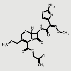 C=C(Cl)COC(=O)C1=C(CSC)CS[C@@H]2C(NC(=O)/C(=N\OC)c3csc(N)n3)C(=O)N12